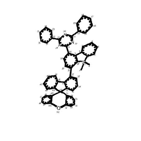 C[Si]1(C)c2ccccc2-c2c(-c3nc(-c4ccccc4)nc(-c4ccccc4)n3)ccc(-c3cccc4c3-c3ccccc3C43c4ccccc4Oc4ccccc43)c21